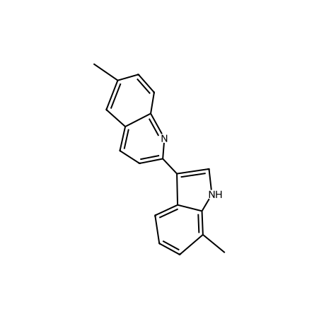 Cc1ccc2nc(-c3c[nH]c4c(C)cccc34)ccc2c1